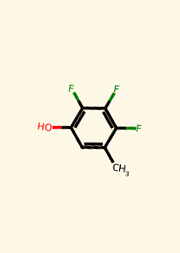 Cc1cc(O)c(F)c(F)c1F